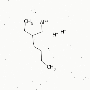 CCCCC(CC)[CH2][Al+2].[H-].[H-]